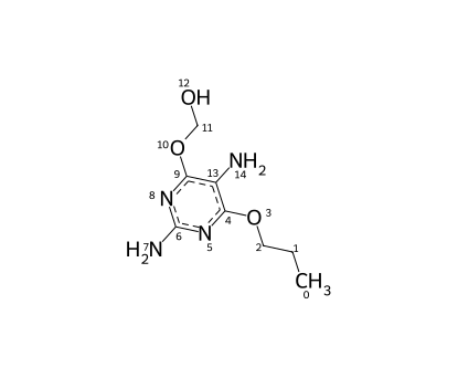 CCCOc1nc(N)nc(OCO)c1N